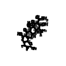 CC(C)CN(C)[C@@H](C)c1cc(O)c2c(c1Cl)C[C@H]1C[C@H]3[C@H](N(C)C)C(O)=C(C(N)=O)C(=O)[C@@]3(O)C(O)=C1C2=O